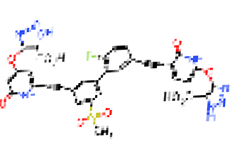 CS(=O)(=O)c1cc(C#Cc2cc(Oc3nn[nH]c3C(=O)O)cc(=O)[nH]2)cc(-c2cc(C#Cc3ccc(Oc4nn[nH]c4C(=O)O)[nH]c3=O)ccc2F)c1